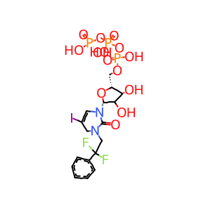 O=C1N(CC(F)(F)c2ccccc2)CC(I)=CN1[C@@H]1O[C@H](COP(=O)(O)OP(=O)(O)OP(=O)(O)O)[C@H](O)C1O